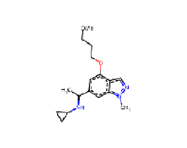 COCCCOc1cc(C(C)NC2CC2)cc2c1cnn2C